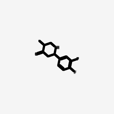 CC1CNC(c2ccc(F)c(F)c2)CC1=O